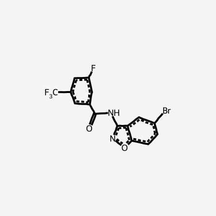 O=C(Nc1noc2ccc(Br)cc12)c1cc(F)cc(C(F)(F)F)c1